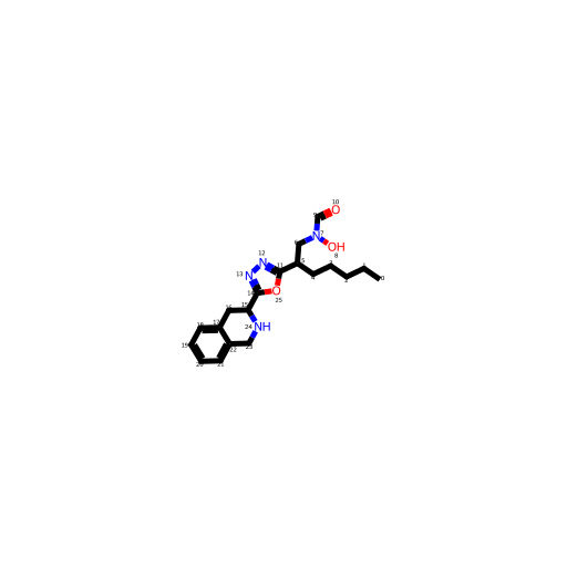 CCCCCC(CN(O)C=O)c1nnc(C2Cc3ccccc3CN2)o1